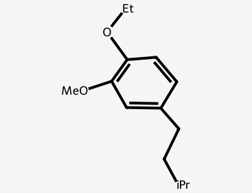 CCOc1ccc(CCC(C)C)cc1OC